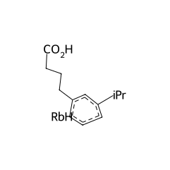 CC(C)c1cccc(CCCC(=O)O)c1.[RbH]